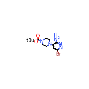 CC(C)(C)OC(=O)N1CCN(c2cc(Br)nnc2N)CC1